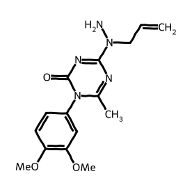 C=CCN(N)c1nc(C)n(-c2ccc(OC)c(OC)c2)c(=O)n1